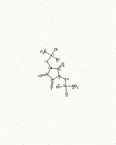 CCC(Cl)(SN1C(=O)C(=O)N(SC(Cl)(CC)[N+](=O)[O-])C1=O)[N+](=O)[O-]